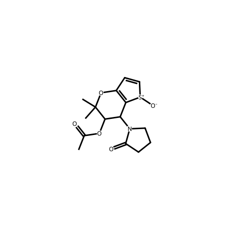 CC(=O)OC1C(N2CCCC2=O)c2c(cc[s+]2[O-])OC1(C)C